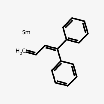 C=CC=C(c1ccccc1)c1ccccc1.[Sm]